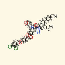 N#Cc1ccc(-c2ccc(CC(NC(=O)C3Cc4cc5c(cc4CN3CC3CCOCC3)OC(c3ccc(OCc4ccc(Cl)c(Cl)c4)cc3)CO5)C(=O)O)cc2)cc1